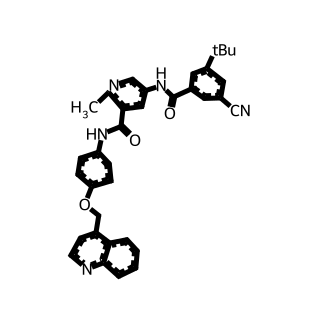 Cc1ncc(NC(=O)c2cc(C#N)cc(C(C)(C)C)c2)cc1C(=O)Nc1ccc(OCc2ccnc3ccccc23)cc1